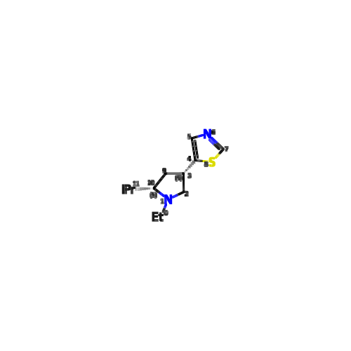 CCN1C[C@@H](c2cncs2)C[C@H]1C(C)C